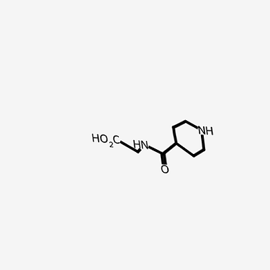 O=C(O)CNC(=O)C1CCNCC1